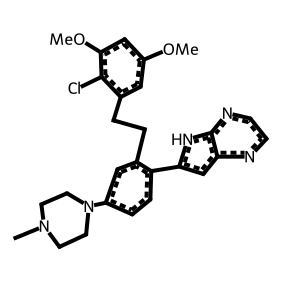 COc1cc(CCc2cc(N3CCN(C)CC3)ccc2-c2cc3nccnc3[nH]2)c(Cl)c(OC)c1